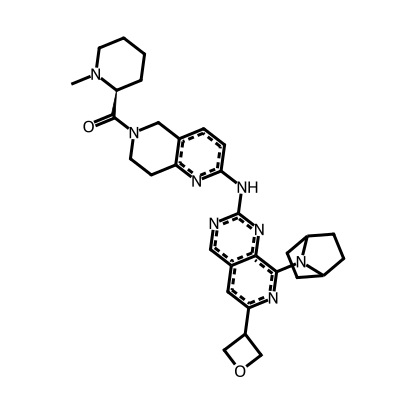 CN1CCCC[C@H]1C(=O)N1CCc2nc(Nc3ncc4cc(C5COC5)nc(N5C6CCC5CC6)c4n3)ccc2C1